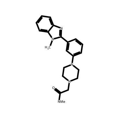 CNC(=O)CN1CCN(c2cccc(-c3nc4ccccc4n3C)c2)CC1